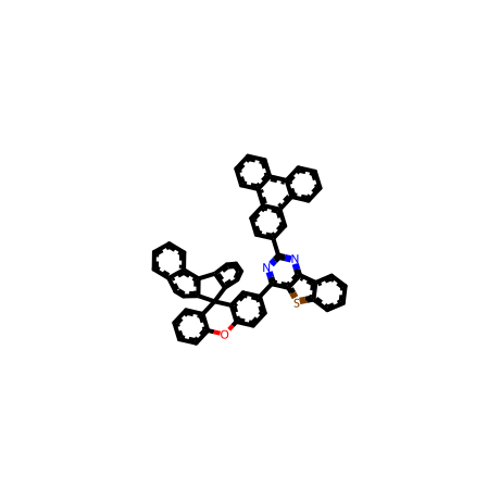 c1ccc2c(c1)Oc1ccc(-c3nc(-c4ccc5c6ccccc6c6ccccc6c5c4)nc4c3sc3ccccc34)cc1C21c2ccccc2-c2c1ccc1ccccc21